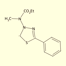 CCOC(=O)N(C)N1[CH]SC(c2ccccc2)=N1